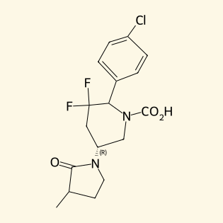 CC1CCN([C@H]2CN(C(=O)O)C(c3ccc(Cl)cc3)C(F)(F)C2)C1=O